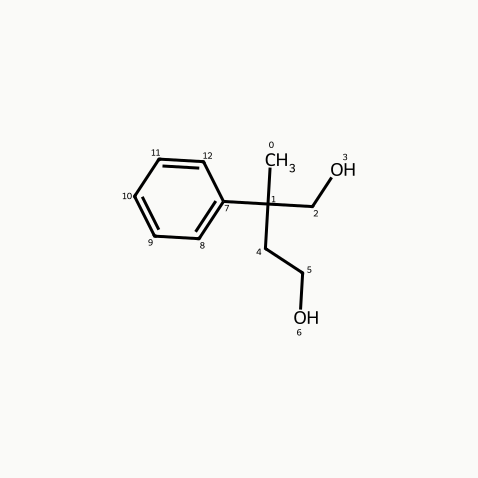 CC(CO)(CCO)c1ccccc1